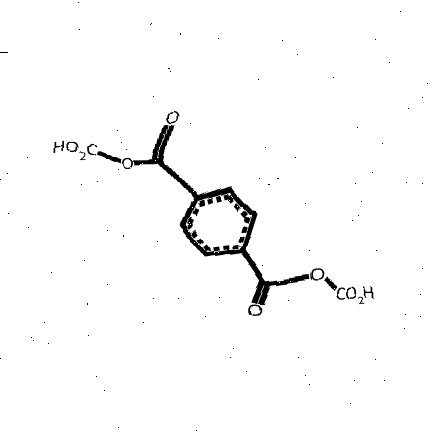 O=C(O)OC(=O)c1ccc(C(=O)OC(=O)O)cc1